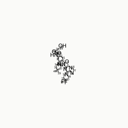 O=C(Nc1cn2ccnc2c(N2CCC(F)(F)CC2)n1)c1ccc(NS(=O)(=O)CCO)cc1N1CCC2(CC1)CC2